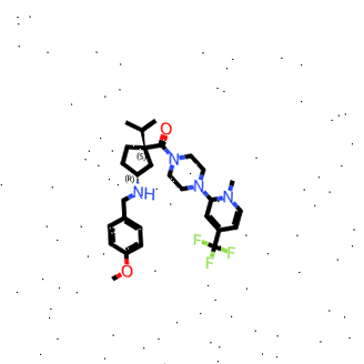 COc1ccc(CN[C@@H]2CC[C@@](C(=O)N3CCN(C4C=C(C(F)(F)F)C=CN4C)CC3)(C(C)C)C2)cc1